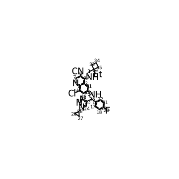 CCC1(CNc2c(C#N)cnc3c(Cl)cc(NC(c4ccc(F)cc4)c4cn(C5CC5)nn4)cc23)CCC1